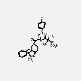 CN1N=C2CCN(C(=O)[C@@H](COc3ccc(Cl)cc3)NC(=O)C(C)(C)NC(=O)O)C[C@@]2(Cc2ccccc2)C1=O